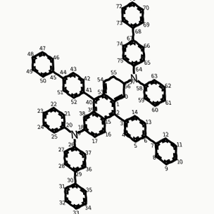 C1=c2c(-c3ccc(-c4ccccc4)cc3)c3ccc(N(c4ccccc4)c4ccc(-c5ccccc5)cc4)cc3c(-c3ccc(-c4ccccc4)cc3)c2=CCC1N(c1ccccc1)c1ccc(-c2ccccc2)cc1